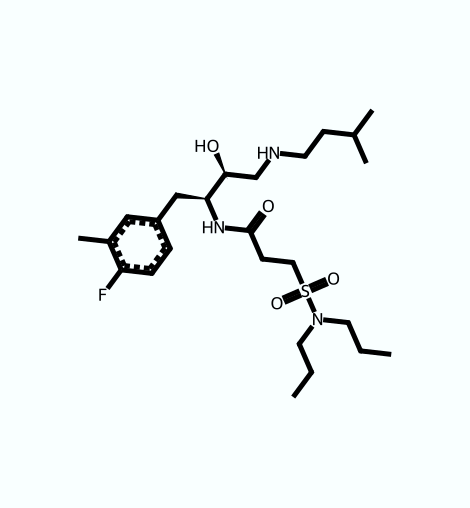 CCCN(CCC)S(=O)(=O)CCC(=O)N[C@@H](Cc1ccc(F)c(C)c1)[C@@H](O)CNCCC(C)C